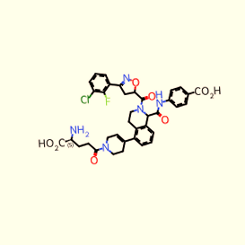 N[C@@H](CCC(=O)N1CC=C(c2cccc3c2CCN(C(=O)C2CC(c4cccc(Cl)c4F)=NO2)C3C(=O)Nc2ccc(C(=O)O)cc2)CC1)C(=O)O